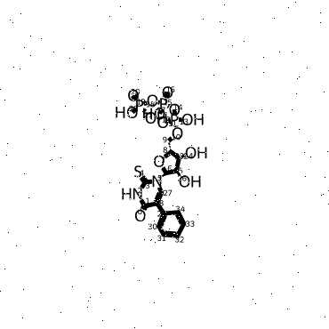 O=c1[nH]c(=S)n([C@@H]2O[C@H](COP(=O)(O)OP(=O)(O)OP(=O)(O)O)[C@@H](O)[C@H]2O)cc1-c1ccccc1